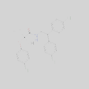 CC(C)(Oc1ccc(Cl)cc1)C(=O)NCC(c1ccc(Cl)cc1)c1ccc(Cl)cc1